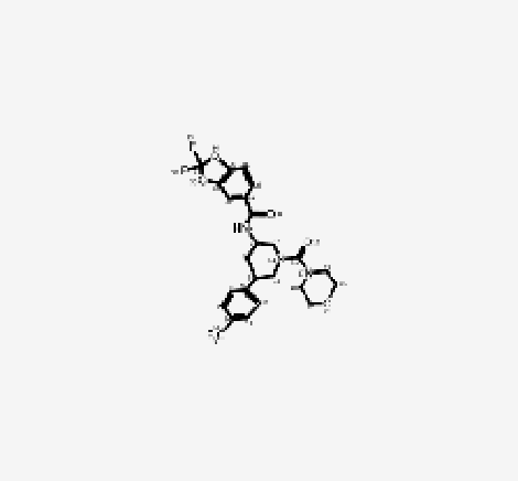 O=C(NC1CC(c2ccc(C(F)(F)F)cc2)CN(C(=O)N2CCOCC2)C1)c1ccc2c(c1)OC(F)(F)O2